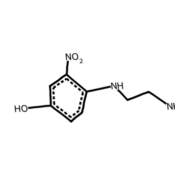 NCCNc1ccc(O)cc1[N+](=O)[O-]